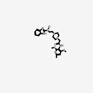 CSc1cc(C)nc(SC)c1NC(=O)CN1CCN(CC[S+]([O-])c2nc3ccccc3[nH]2)CC1